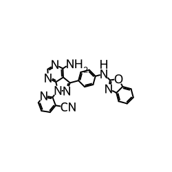 N#Cc1cccnc1-n1nc(-c2ccc(Nc3nc4ccccc4o3)cc2)c2c(N)ncnc21